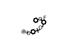 CCC(C)Oc1ccc(C(C)(C)COCc2ccc(F)c(Oc3ccccc3)c2)cc1